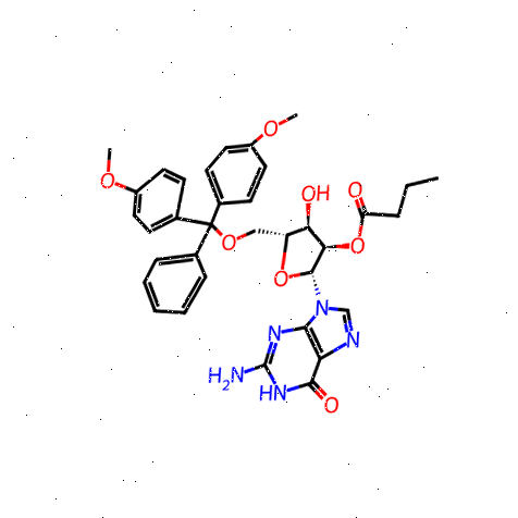 CCCC(=O)O[C@@H]1[C@H](O)[C@@H](COC(c2ccccc2)(c2ccc(OC)cc2)c2ccc(OC)cc2)O[C@H]1n1cnc2c(=O)[nH]c(N)nc21